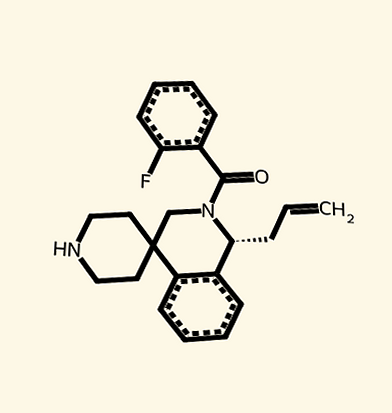 C=CC[C@@H]1c2ccccc2C2(CCNCC2)CN1C(=O)c1ccccc1F